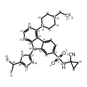 N#CC1(NS(=O)(=O)c2ccc3c4c(N5CCN(CC(F)(F)F)CC5)ncnc4n(-c4nnc(C(F)F)s4)c3c2)CC1